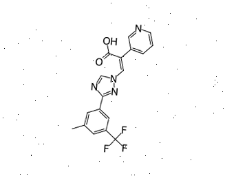 Cc1cc(-c2ncn(/C=C(\C(=O)O)c3cccnc3)n2)cc(C(F)(F)F)c1